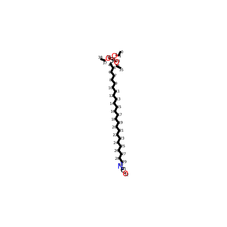 CCO[Si](CCCCCCCCCCCCCCCCCCCCCCCCCCN=C=O)(OCC)OCC